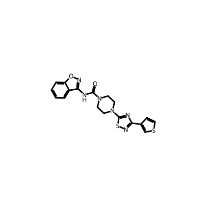 O=C(Nc1noc2ccccc12)N1CCN(c2nc(-c3ccsc3)ns2)CC1